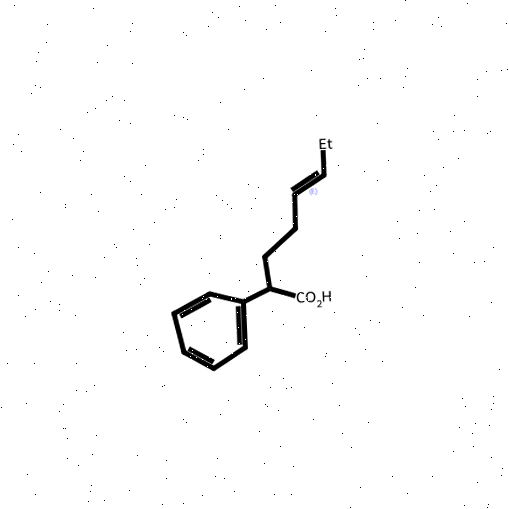 CC/C=C/CCC(C(=O)O)c1ccccc1